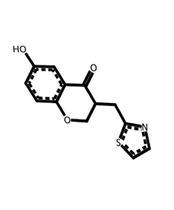 O=C1c2cc(O)ccc2OCC1Cc1nccs1